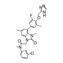 Cc1cc(-c2cc(C)c(OCc3nnc[nH]3)c(F)c2)c2c(c1)n(CC(=O)N(C)c1cccc(Cl)c1)c(=O)n2C